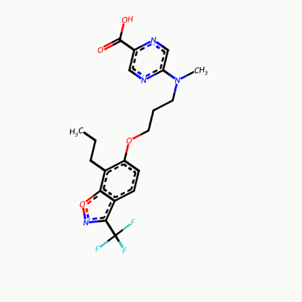 CCCc1c(OCCCN(C)c2cnc(C(=O)O)cn2)ccc2c(C(F)(F)F)noc12